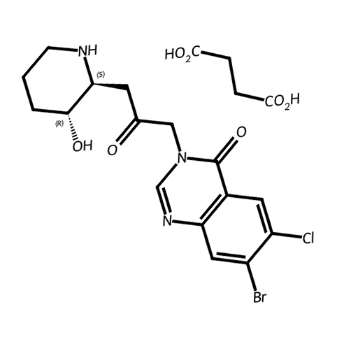 O=C(C[C@@H]1NCCC[C@H]1O)Cn1cnc2cc(Br)c(Cl)cc2c1=O.O=C(O)CCC(=O)O